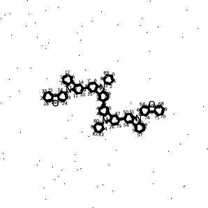 c1ccc(-n2c3ccc(-c4ccc5c(c4)c4ccccc4n5-c4ccc5oc6ccccc6c5c4)cc3c3cc(-c4ccc5c(c4)c4cc(-c6ccc7c(c6)c6ccccc6n7-c6ccc7oc8ccccc8c7c6)ccc4n5-c4ccccc4)ccc32)cc1